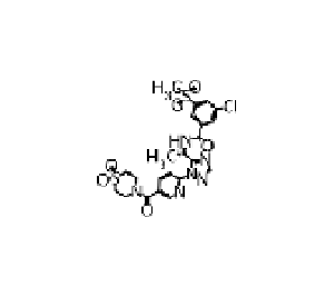 C[C@H](NC(=O)c1cc(Cl)cc(S(C)(=O)=O)c1)c1ncnn1-c1ccc(C(=O)N2CCS(=O)(=O)CC2)cn1